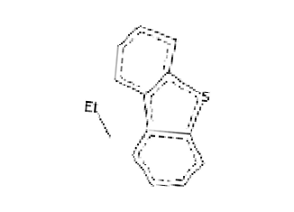 CCC.c1ccc2c(c1)sc1ccccc12